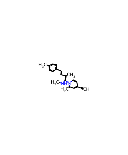 C#CC1=CC(=C)N(/C(NC)=C(C)/C=C/c2ccc(C)cc2)C=C1